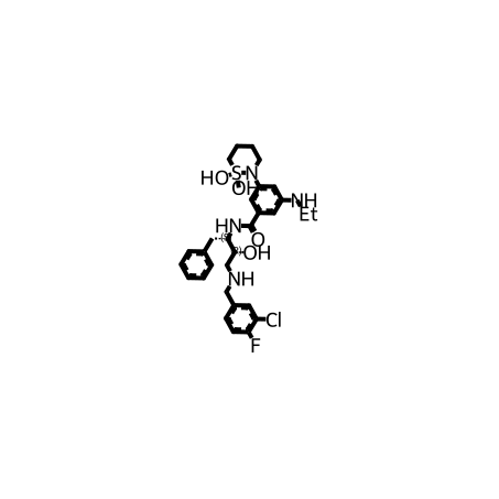 CCNc1cc(C(=O)N[C@@H](Cc2ccccc2)[C@H](O)CNCc2ccc(F)c(Cl)c2)cc(N2CCCCS2(O)O)c1